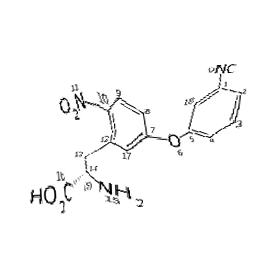 [C-]#[N+]c1cccc(Oc2ccc([N+](=O)[O-])c(C[C@H](N)C(=O)O)c2)c1